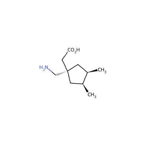 C[C@@H]1C[C@](CN)(CC(=O)O)C[C@@H]1C